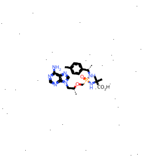 Cc1ccc([C@H](C)N[P@@](=O)(CO[C@H](C)Cn2cnc3c(N)ncnc32)NC(C)(C)C(=O)O)cc1